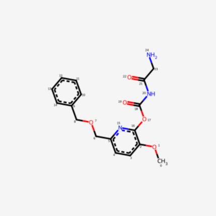 COc1ccc(COCc2ccccc2)nc1OC(=O)NC(=O)CN